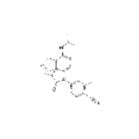 CC(C)NC(=O)C1C[N@@]2CC3C(=O)N(c4ccc(C#N)c(I)c4)C(=O)[N+]13C2